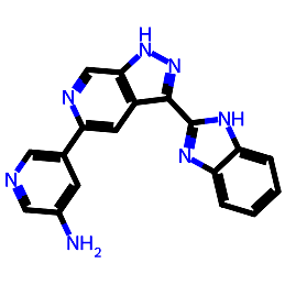 Nc1cncc(-c2cc3c(-c4nc5ccccc5[nH]4)n[nH]c3cn2)c1